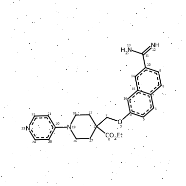 CCOC(=O)C1(COc2ccc3ccc(C(=N)N)cc3c2)CCN(c2ccncc2)CC1